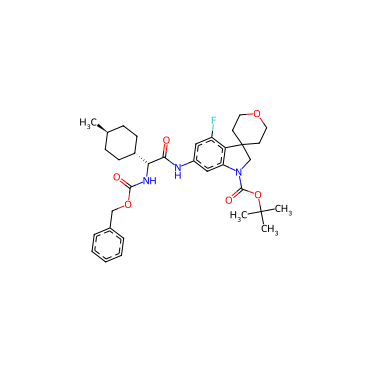 CC(C)(C)OC(=O)N1CC2(CCOCC2)c2c(F)cc(NC(=O)C(NC(=O)OCc3ccccc3)[C@H]3CC[C@H](C)CC3)cc21